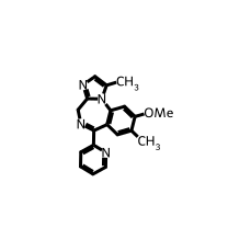 COc1cc2c(cc1C)C(c1ccccn1)=NCc1ncc(C)n1-2